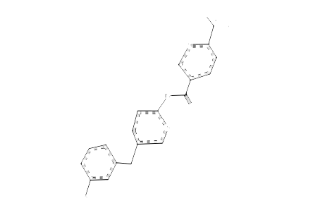 C[C@@H](O)c1ccc(C(=O)Nc2ccc(Cc3cccc(Cl)c3)cn2)cn1